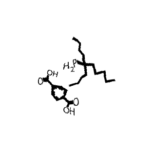 CCCCCC(P)(CCCC)CCCC.O=C(O)c1ccc(C(=O)O)cc1